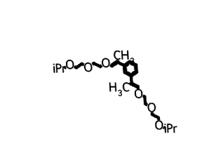 CC(=COCCOCCOC(C)C)c1cccc(C(C)=COCCOCCOC(C)C)c1